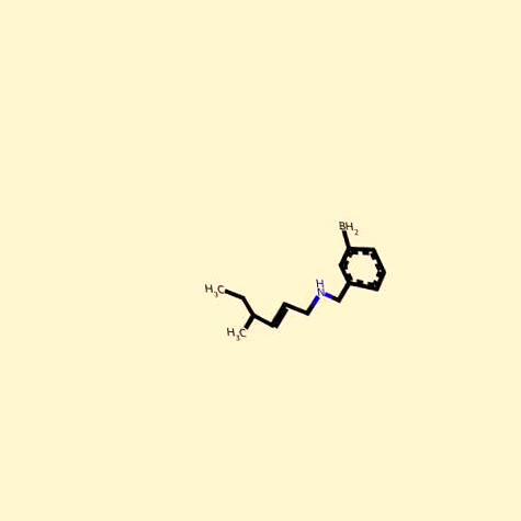 Bc1cccc(CNC/C=C/C(C)CC)c1